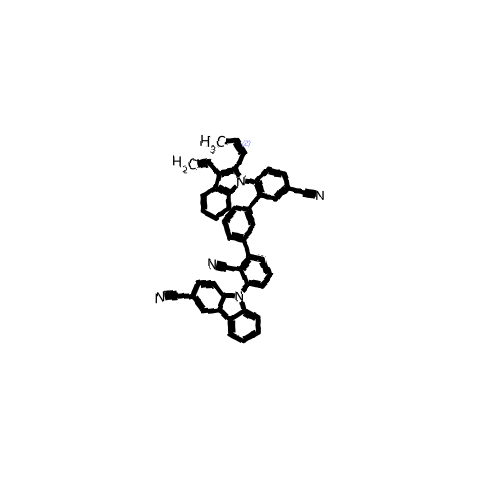 C=Cc1c2c(n(-c3ccc(C#N)cc3-c3cccc(-c4cccc(N5c6ccccc6C6C=C(C#N)C=CC65)c4C#N)c3)c1/C=C\C)CCC=C2